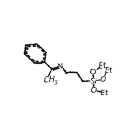 CCO[Si](CCCN=C(C)c1ccccc1)(OCC)OCC